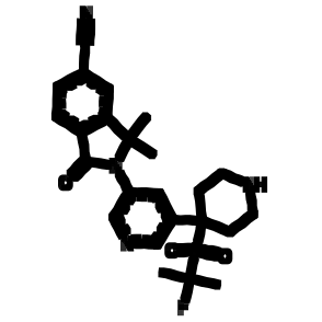 CC1(C)c2cc(C#N)ccc2C(=O)N1c1cncc(C2(S(=O)(=O)C(C)(C)F)CCNCC2)c1